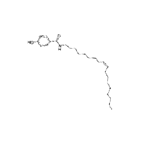 CCCCCCCC/C=C\CCCCCCCCNC(=O)c1ccc(O)cc1